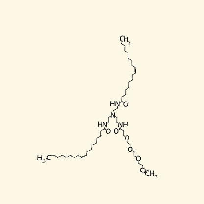 CCCCCCCC/C=C\CCCCCCCC(=O)NCCN(CCNC(=O)CCCCCCC/C=C\CCCCCCCC)CCNC(=O)CCOCCOCCOCCOC